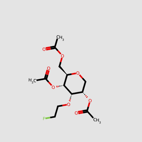 CC(=O)OC[C@H]1OC[C@H](OC(C)=O)[C@H](OCCF)[C@@H]1OC(C)=O